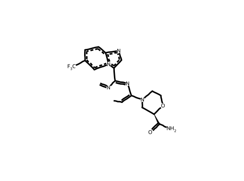 C=N/C(=N\C(=C/C)N1CCO[C@@H](C(N)=O)C1)c1cnc2ccc(C(F)(F)F)cn12